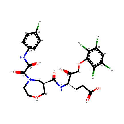 O=C(O)CC[C@H](NC(=O)[C@H]1COCCN(C(=O)C(=O)Nc2ccc(F)cc2)C1)C(=O)COc1c(F)c(F)cc(F)c1F